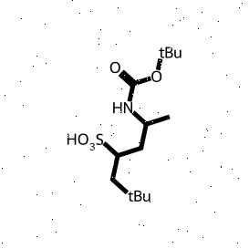 CC(CC(CC(C)(C)C)S(=O)(=O)O)NC(=O)OC(C)(C)C